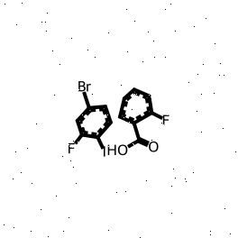 Fc1cc(Br)ccc1I.O=C(O)c1ccccc1F